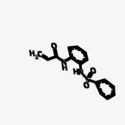 C=CC(=O)Nc1ccccc1NS(=O)(=O)c1ccccc1